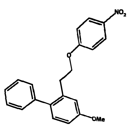 COc1ccc(-c2ccccc2)c(CCOc2ccc([N+](=O)[O-])cc2)c1